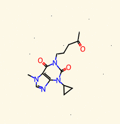 CC(=O)CCCn1c(=O)c2c(ncn2C)n(C2CC2)c1=O